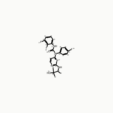 CC(Nc1nccc(N(C(=O)Nc2cccc(F)c2F)c2ccc(F)cc2)n1)C(C)(C)O